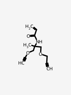 C#CCOCC(C)(COC#C)NC(=O)C=C